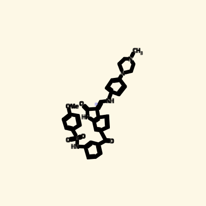 COc1ccc(S(=O)(=O)Nc2cccc(C(=O)c3ccc4c(c3)NC(=O)/C4=C/Nc3ccc(N4CCN(C)CC4)cc3)c2)cc1